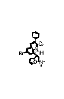 COc1nc2c(C(O)(CCN(C)C)c3ccco3)cc(Br)cc2cc1-c1ccccc1